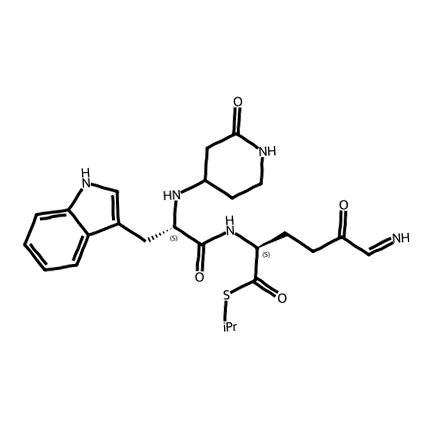 CC(C)SC(=O)[C@H](CCC(=O)C=N)NC(=O)[C@H](Cc1c[nH]c2ccccc12)NC1CCNC(=O)C1